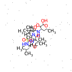 CCCC(NC(=O)[C@@H]1[C@@H]2[C@H](CN1C(=O)[C@@H](NC(=O)[C@H](CC(C)C)NS(C)(=O)=O)C(C)(C)C)C2(C)C)C(=O)C(=O)O